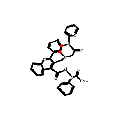 COC(=O)N(NC(=O)c1c(CN2CCN(c3ccccn3)C(=O)C2)c(-c2ccccc2)nc2ccccc12)c1ccccc1